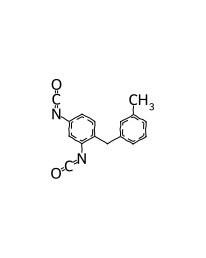 Cc1cccc(Cc2ccc(N=C=O)cc2N=C=O)c1